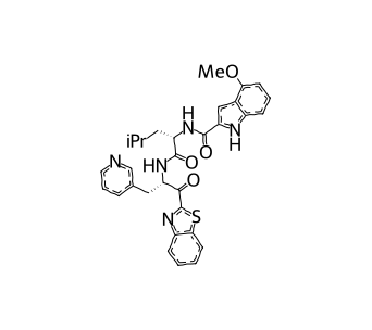 COc1cccc2[nH]c(C(=O)N[C@@H](CC(C)C)C(=O)N[C@@H](Cc3cccnc3)C(=O)c3nc4ccccc4s3)cc12